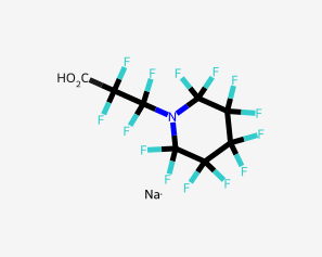 O=C(O)C(F)(F)C(F)(F)N1C(F)(F)C(F)(F)C(F)(F)C(F)(F)C1(F)F.[Na]